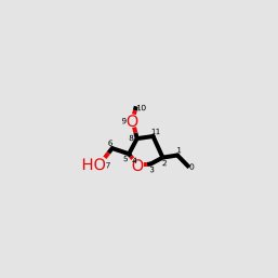 CCC1COC(CO)C(OC)C1